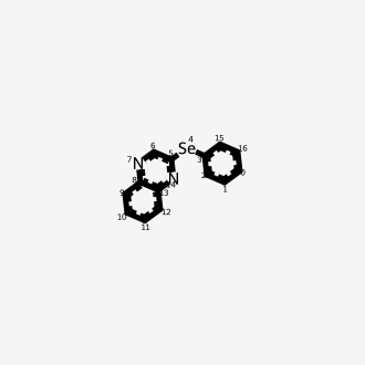 c1ccc([Se]c2cnc3ccccc3n2)cc1